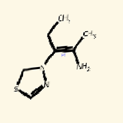 CC/C(=C(\C)N)N1CSC=N1